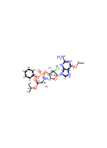 CCOc1nc(N)nc2c1ncn2[C@@H]1OC[C@@H](OP(=O)(N[C@H](C)C(=O)OC(C)C)Oc2ccccc2)[C@@]1(C)Cl